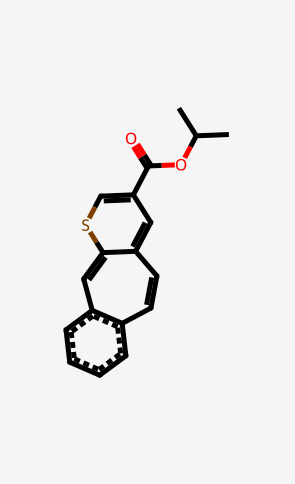 CC(C)OC(=O)C1=CSC2=Cc3ccccc3C=CC2=C1